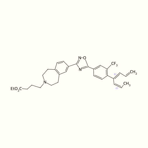 C=C/C=C(\C=C/C)c1ccc(-c2nc(-c3ccc4c(c3)CCN(CCCC(=O)OCC)CC4)no2)cc1C(F)(F)F